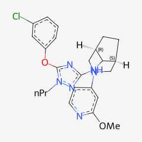 CCCn1nc(NC2[C@@H]3CC[C@H]2CN(c2ccnc(OC)c2)C3)nc1Oc1cccc(Cl)c1